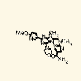 COc1ccc(-c2nc(N3CCOCC3)c3nc(CN(C)c4ncc(C(N)=O)cn4)n(C)c3n2)cn1